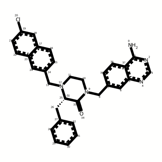 Nc1ncnc2cc(CN3CCN(Cc4ccc5cc(Cl)ccc5c4)[C@@H](Cc4ccccc4)C3=O)ccc12